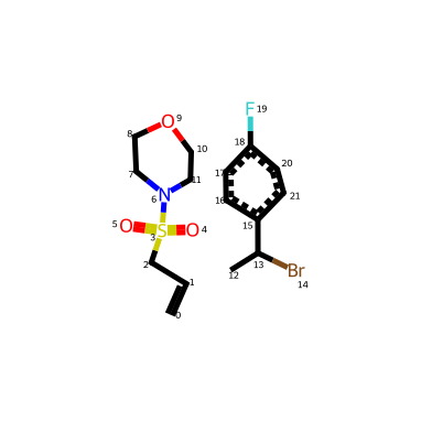 C=CCS(=O)(=O)N1CCOCC1.CC(Br)c1ccc(F)cc1